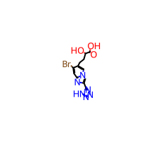 O=C(O)C(O)CCc1cn2cc(-c3nnn[nH]3)nc2cc1Br